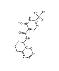 O=C(NC1CCSc2ccccc21)c1ccc(C(F)(F)F)[nH]c1=O